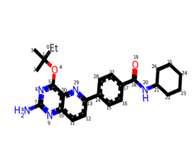 CCC(C)(C)Oc1nc(N)nc2ccc(-c3ccc(C(=O)NC4CCCCC4)cc3)nc12